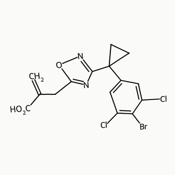 C=C(Cc1nc(C2(c3cc(Cl)c(Br)c(Cl)c3)CC2)no1)C(=O)O